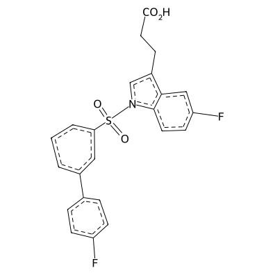 O=C(O)CCc1cn(S(=O)(=O)c2cccc(-c3ccc(F)cc3)c2)c2ccc(F)cc12